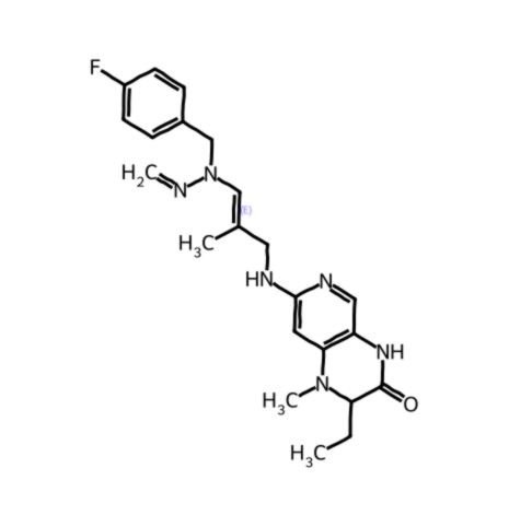 C=NN(/C=C(\C)CNc1cc2c(cn1)NC(=O)C(CC)N2C)Cc1ccc(F)cc1